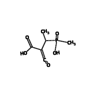 CC(C(=C=O)C(=O)O)P(C)(=O)O